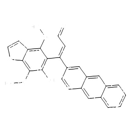 COc1c(C(=CC=O)c2ccc3cc4ccccc4cc3c2)c(O)c(OC)c2occc12